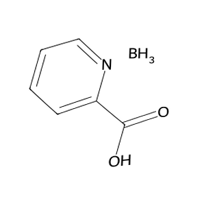 B.O=C(O)c1ccccn1